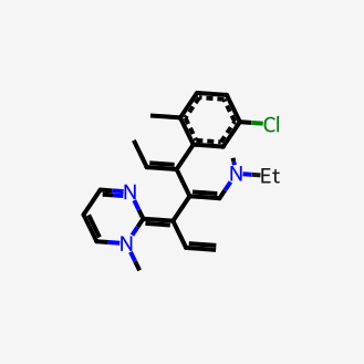 C=CC(=C1/N=CC=CN1C)/C(=C/N(C)CC)C(=CC)c1cc(Cl)ccc1C